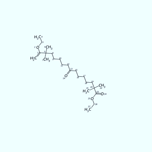 C=C(OCC)C(C)(C)CCCCCC(=O)CCCCCC(C)(C)C(=O)OCC